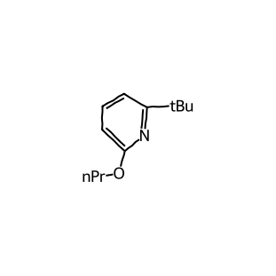 CCCOc1cccc(C(C)(C)C)n1